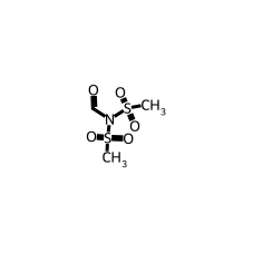 CS(=O)(=O)N(C=O)S(C)(=O)=O